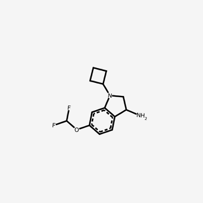 NC1CN(C2CCC2)c2cc(OC(F)F)ccc21